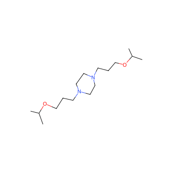 CC(C)OCCCN1CCN(CCCOC(C)C)CC1